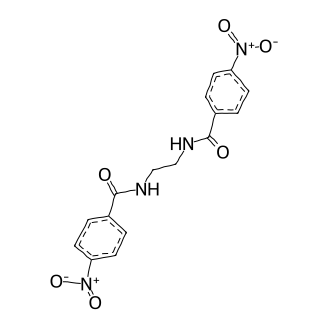 O=C(NCCNC(=O)c1ccc([N+](=O)[O-])cc1)c1ccc([N+](=O)[O-])cc1